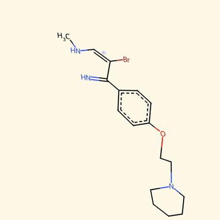 CN/C=C(/Br)C(=N)c1ccc(OCCN2CCCCC2)cc1